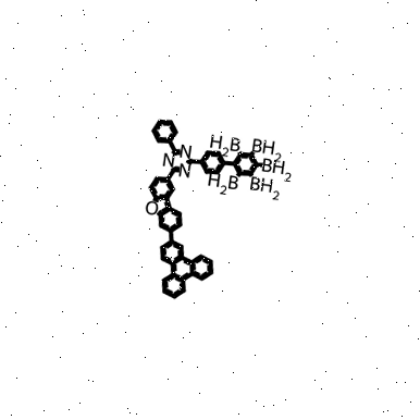 Bc1c(B)c(B)c(-c2ccc(-c3nc(-c4ccccc4)nc(-c4ccc5oc6cc(-c7ccc8c9ccccc9c9ccccc9c8c7)ccc6c5c4)n3)cc2)c(B)c1B